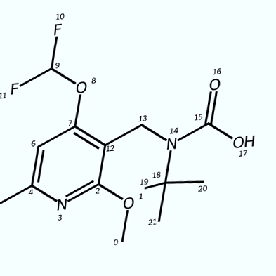 COc1nc(C)cc(OC(F)F)c1CN(C(=O)O)C(C)(C)C